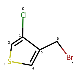 Clc1cscc1CBr